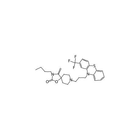 C=C1N(CCCC)C(=O)OC12CCN(CCCN1c3ccccc3Sc3ccc(C(F)(F)F)cc31)CC2